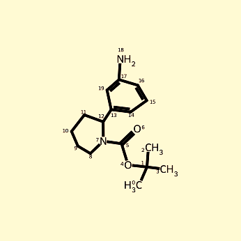 CC(C)(C)OC(=O)N1CCCCC1c1cccc(N)c1